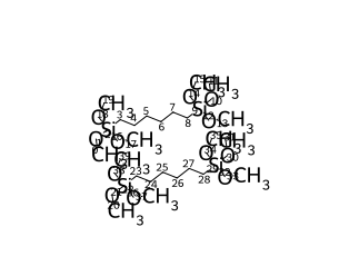 CO[Si](CCCCCC[Si](OC)(OC)OC)(OC)OC.CO[Si](CCCCCC[Si](OC)(OC)OC)(OC)OC